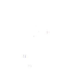 O=C(O)C1(CCCCCc2cccc(Br)n2)CCCC1